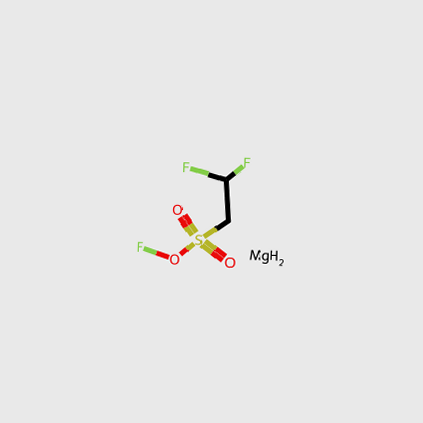 O=S(=O)(CC(F)F)OF.[MgH2]